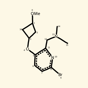 COC1CC(Oc2ccc(Br)nc2CN(C)C)C1